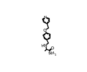 CC(NCc1ccc(OCc2ccncc2)cc1)C(N)=O